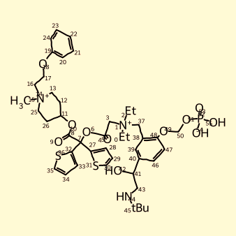 CC[N+](CC)(CC(=O)OC(C(=O)OC1CC[N+](C)(CCOc2ccccc2)CC1)(c1cccs1)c1cccs1)Cc1cc(C(O)CNC(C)(C)C)ccc1OCOP(=O)(O)O